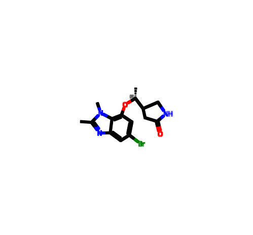 Cc1nc2cc(Br)cc(O[C@H](C)C3CNC(=O)C3)c2n1C